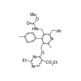 CCOC(=O)c1cnc(CC)nc1OCc1c(C)nc(CC(C)C)c(CNC(=O)OC(C)(C)C)c1-c1ccc(C)cc1